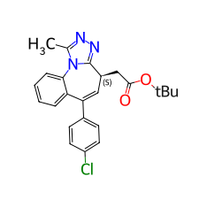 Cc1nnc2n1-c1ccccc1C(c1ccc(Cl)cc1)=C[C@@H]2CC(=O)OC(C)(C)C